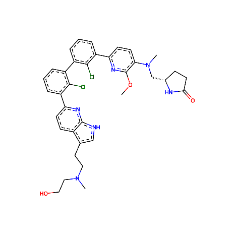 COc1nc(-c2cccc(-c3cccc(-c4ccc5c(CCN(C)CCO)c[nH]c5n4)c3Cl)c2Cl)ccc1N(C)C[C@@H]1CCC(=O)N1